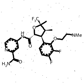 CNCCOc1c([C@H]2[C@H](C(=O)Nc3ccnc(C(N)=O)c3)O[C@@](C)(C(F)(F)F)[C@H]2C)ccc(F)c1F